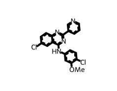 COc1cc(Nc2nc(-c3cccnc3)nc3ccc(Cl)cc23)ccc1Cl